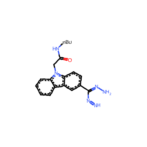 CCCCNC(=O)Cn1c2ccccc2c2cc(/C(N=N)=N/N)ccc21